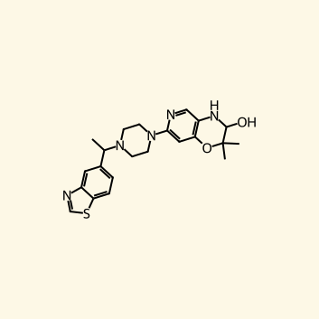 CC(c1ccc2scnc2c1)N1CCN(c2cc3c(cn2)NC(O)C(C)(C)O3)CC1